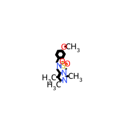 COc1ccc(CN2CC3=C(C)C(C)N=C(C)N3CS2(=O)=O)cc1